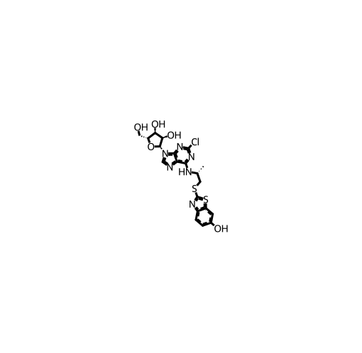 C[C@H](CSc1nc2ccc(O)cc2s1)Nc1nc(Cl)nc2c1ncn2[C@@H]1O[C@H](CO)[C@@H](O)[C@H]1O